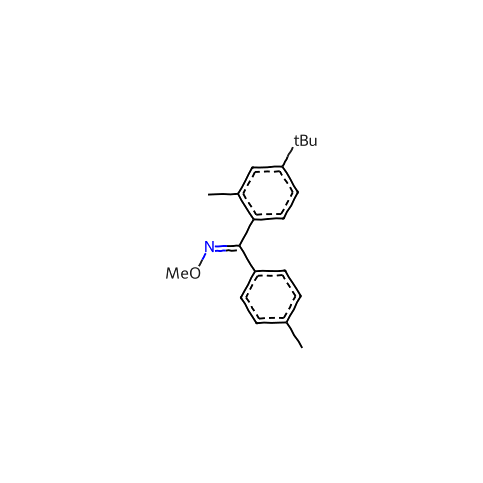 CO/N=C(\c1ccc(C)cc1)c1ccc(C(C)(C)C)cc1C